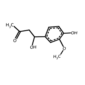 COc1cc(C(O)CC(C)=O)ccc1O